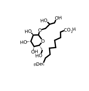 CCCCCCCCCCCCCCCCCC(=O)O.OCC(O)COC1O[C@H](CO)[C@H](O)[C@H](O)[C@H]1O